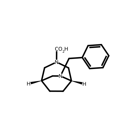 O=C(O)N1C[C@H]2CC[C@@H](C1)N(Cc1ccccc1)C2